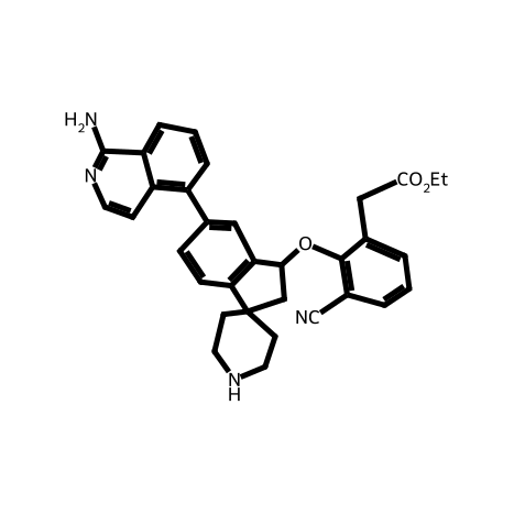 CCOC(=O)Cc1cccc(C#N)c1OC1CC2(CCNCC2)c2ccc(-c3cccc4c(N)nccc34)cc21